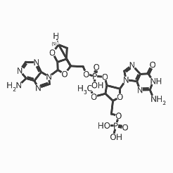 COC1C(COP(=O)(O)O)OC(n2cnc3c(=O)[nH]c(N)nc32)C1OP(=O)(O)OCC12OC(n3cnc4c(N)ncnc43)C3O[C@H]1CC32